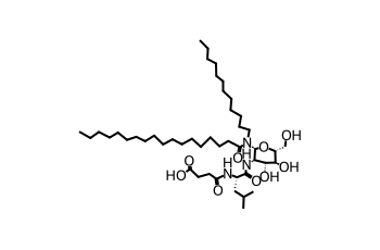 CCCCCCCCCCCCCCCCCC(=O)N(CCCCCCCCCCCC)[C@@H]1O[C@H](CO)[C@@H](O)[C@H](O)[C@@H]1NC(=O)[C@H](CC(C)C)NC(=O)CCC(=O)O